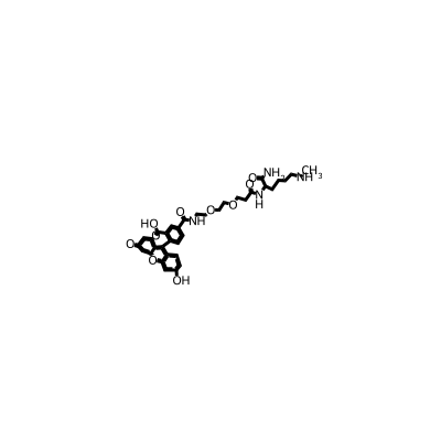 CNCCCCC(NC(=O)CCOCCOCCNC(=O)c1ccc(-c2c3ccc(=O)cc-3oc3cc(O)ccc23)c(C(=O)O)c1)C(N)=O